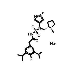 CC(C)c1cc(CC(=O)NS(=O)(=O)N(C[C@@H]2CCCN2C)c2cnn(C)c2)cc(C(C)C)c1F.[Na]